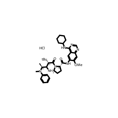 COc1cc2ncnc(NC3CCCCC3)c2cc1NC(=O)[C@@H]1CCCN1C(=O)[C@H](C(N)[C@H](C)N(C)c1ccccc1)C(C)(C)C.Cl